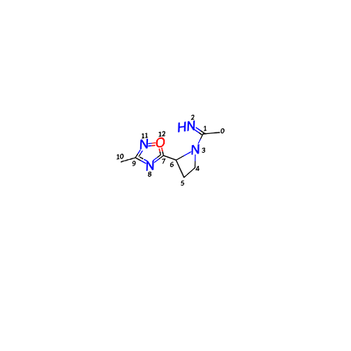 CC(=N)N1CCC1c1nc(C)no1